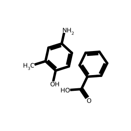 Cc1cc(N)ccc1O.O=C(O)c1ccccc1